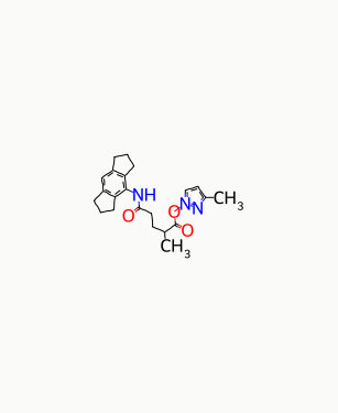 Cc1ccn(OC(=O)C(C)CCC(=O)Nc2c3c(cc4c2CCC4)CCC3)n1